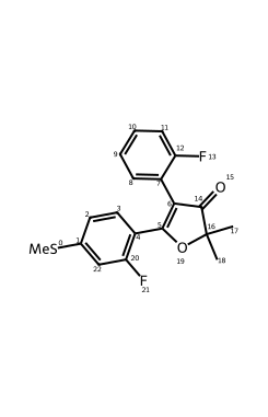 CSc1ccc(C2=C(c3ccccc3F)C(=O)C(C)(C)O2)c(F)c1